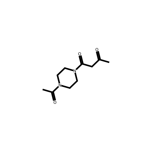 CC(=O)CC(=O)N1CCN(C(C)=O)CC1